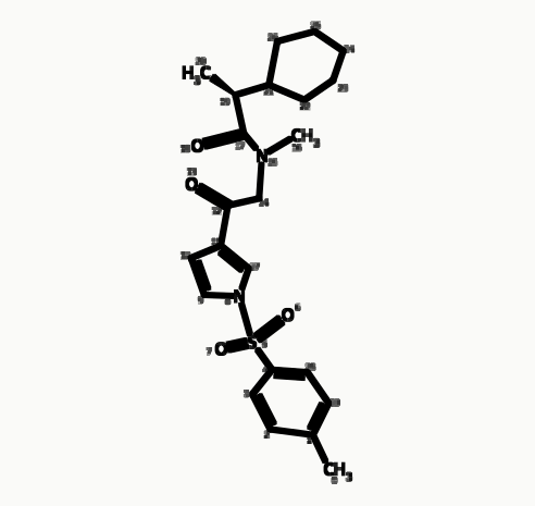 Cc1ccc(S(=O)(=O)n2ccc(C(=O)CN(C)C(=O)[C@@H](C)C3CCCCC3)c2)cc1